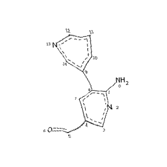 Nc1ncc(C=O)cc1-c1cccnc1